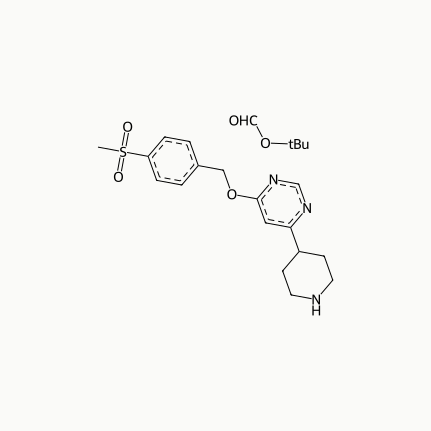 CC(C)(C)OC=O.CS(=O)(=O)c1ccc(COc2cc(C3CCNCC3)ncn2)cc1